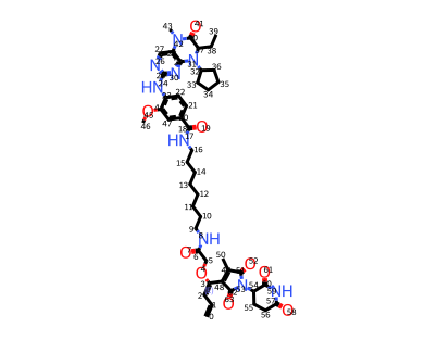 C=C/C=C(/OCC(=O)NCCCCCCCCNC(=O)c1ccc(Nc2ncc3c(n2)N(C2CCCC2)C(CC)C(=O)N3C)c(OC)c1)C1=C(C)C(=O)N(C2CCC(=O)NC2=O)C1=O